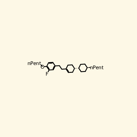 CCCCCOc1ccc(CCC2=CCC([C@H]3CC[C@H](CCCCC)CC3)CC2)cc1F